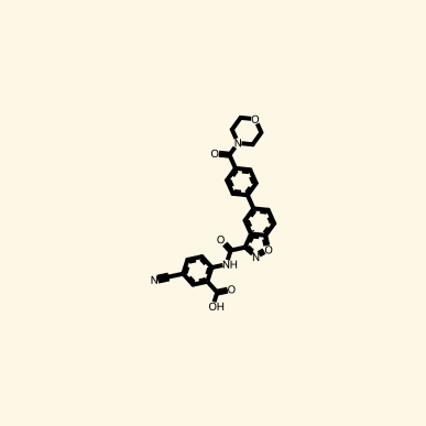 N#Cc1ccc(NC(=O)c2noc3ccc(-c4ccc(C(=O)N5CCOCC5)cc4)cc23)c(C(=O)O)c1